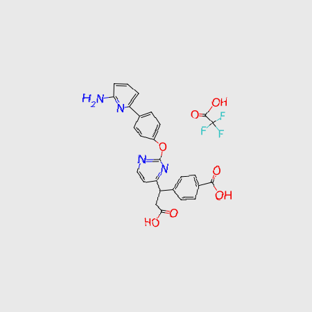 Nc1cccc(-c2ccc(Oc3nccc(C(CC(=O)O)c4ccc(C(=O)O)cc4)n3)cc2)n1.O=C(O)C(F)(F)F